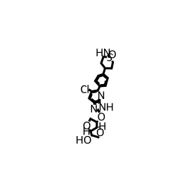 N=S1(=O)CCC(c2ccc(-c3nc4[nH]c(O[C@@H]5CO[C@H]6[C@@H]5OC[C@H]6O)nc4cc3Cl)cc2)CC1